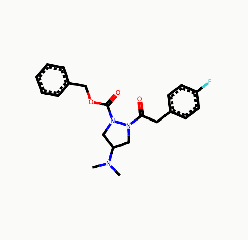 CN(C)C1CN(C(=O)Cc2ccc(F)cc2)N(C(=O)OCc2ccccc2)C1